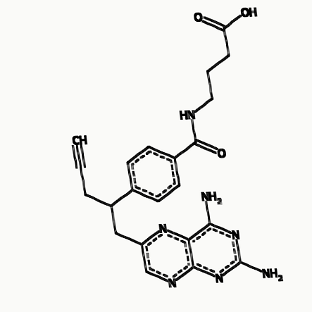 C#CCC(Cc1cnc2nc(N)nc(N)c2n1)c1ccc(C(=O)NCCCC(=O)O)cc1